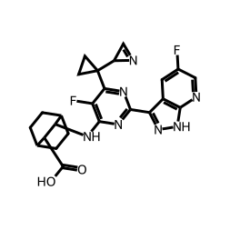 O=C(O)C1C2CCC(CC2)C1Nc1nc(-c2n[nH]c3ncc(F)cc23)nc(C2(C3C=N3)CC2)c1F